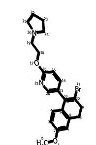 COc1ccc2c(c1)CCC(Br)=C2c1ccc(OCCN2CCCC2)nc1